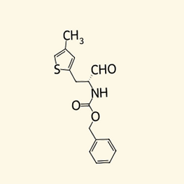 Cc1csc(C[C@H](C=O)NC(=O)OCc2ccccc2)c1